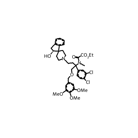 CCOC(=O)C(=O)N(C)C(CCN1CCC2(CC1)c1ccccc1C[C@@H]2O)(COCc1cc(OC)c(OC)c(OC)c1)c1ccc(Cl)c(Cl)c1